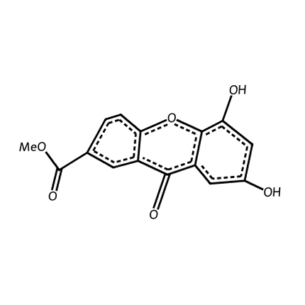 COC(=O)c1ccc2oc3c(O)cc(O)cc3c(=O)c2c1